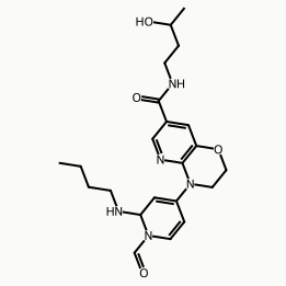 CCCCNC1C=C(N2CCOc3cc(C(=O)NCCC(C)O)cnc32)C=CN1C=O